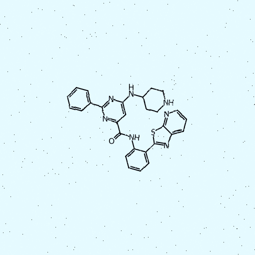 O=C(Nc1ccccc1-c1nc2cccnc2s1)c1cc(NC2CCNCC2)nc(-c2ccccc2)n1